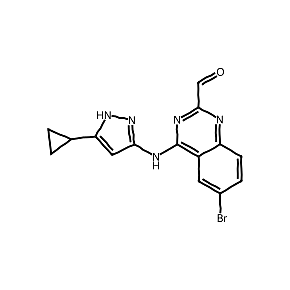 O=Cc1nc(Nc2cc(C3CC3)[nH]n2)c2cc(Br)ccc2n1